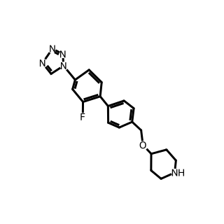 Fc1cc(-n2cnnn2)ccc1-c1ccc(COC2CCNCC2)cc1